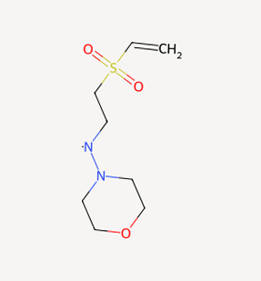 C=CS(=O)(=O)CC[N]N1CCOCC1